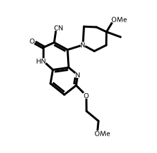 COCCOc1ccc2[nH]c(=O)c(C#N)c(N3CCC(C)(OC)CC3)c2n1